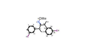 CON=C(C(C)c1cccc(I)c1)C(C)c1cccc(I)c1